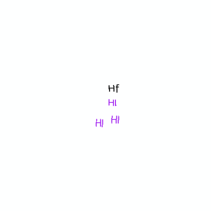 I.I.I.[Hf]